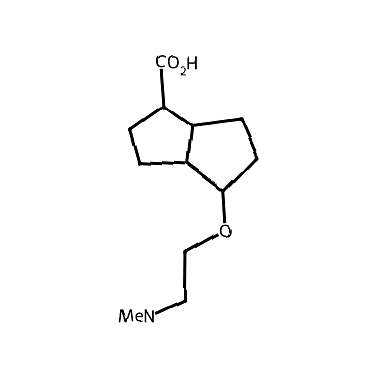 CNCCOC1CCC2C(C(=O)O)CCC12